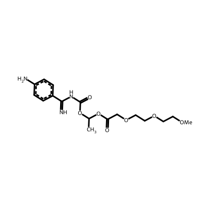 COCCOCCOCC(=O)OC(C)OC(=O)NC(=N)c1ccc(N)cc1